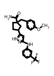 COc1ccc(CC2(C(N)=O)CCC(c3cc(Nc4cccc(C(F)(F)F)c4)n[nH]3)C2)cc1